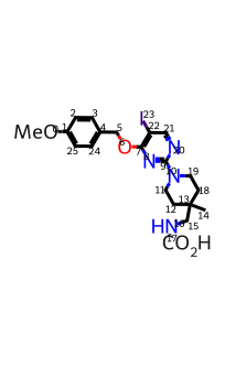 COc1ccc(COc2nc(N3CCC(C)(CNC(=O)O)CC3)ncc2I)cc1